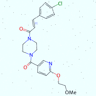 COCCOc1ccc(C(=O)N2CCN(C(=O)/C=C/c3ccc(Cl)cc3)CC2)cn1